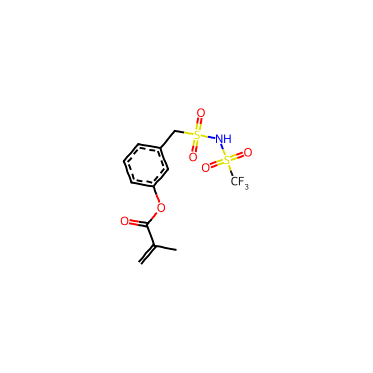 C=C(C)C(=O)Oc1cccc(CS(=O)(=O)NS(=O)(=O)C(F)(F)F)c1